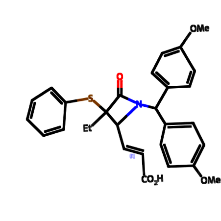 CCC1(Sc2ccccc2)C(=O)N(C(c2ccc(OC)cc2)c2ccc(OC)cc2)C1/C=C/C(=O)O